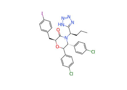 CCC[C@H](c1nnn[nH]1)N1C(=O)[C@H](Cc2ccc(I)cc2)OC(c2ccc(Cl)cc2)[C@H]1c1ccc(Cl)cc1